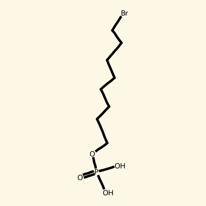 O=P(O)(O)OCCCCCCCCBr